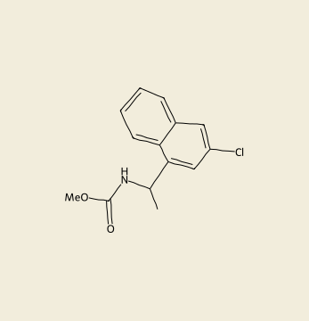 COC(=O)NC(C)c1cc(Cl)cc2ccccc12